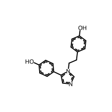 Oc1ccc(CCn2cncc2-c2ccc(O)cc2)cc1